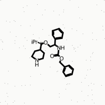 CC(C)[C@@H](OCC(NC(=O)OCc1ccccc1)c1ccccc1)C1CCNCC1